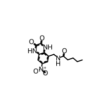 CCCCC(=O)NCc1cc([N+](=O)[O-])cc2[nH]c(=O)c(=O)[nH]c12